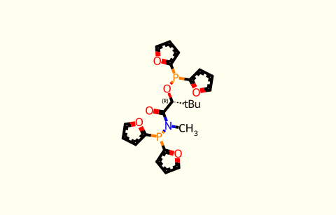 CN(C(=O)[C@H](OP(c1ccco1)c1ccco1)C(C)(C)C)P(c1ccco1)c1ccco1